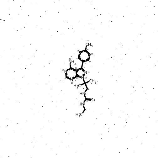 CCNC(=S)NCC(C)(C)n1nc(-c2ccc(C)cc2)c2c(N)ncnc21